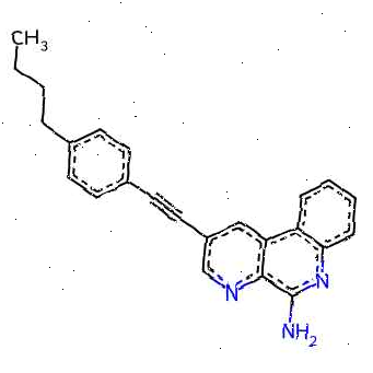 CCCCc1ccc(C#Cc2cnc3c(N)nc4ccccc4c3c2)cc1